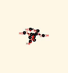 CC(c1ccc(C2CCCCC2)cc1)(c1ccc(OCCOc2ccc(O)cc2)c(-c2ccccc2OCCOc2ccc(O)cc2)c1)c1ccc(OCCOc2ccc(O)cc2)c(-c2ccccc2OCOCc2ccc(O)cc2)c1